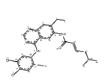 CCc1cc2ncnc(Nc3cc(Cl)c(Cl)cc3F)c2cc1NC(=O)/C=C/CN(C)C